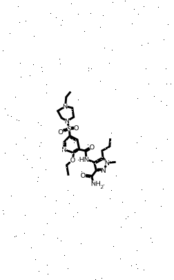 CCCc1c(NC(=O)c2cc(S(=O)(=O)N3CCN(CC)CC3)cnc2OCC)c(C(N)=O)nn1C